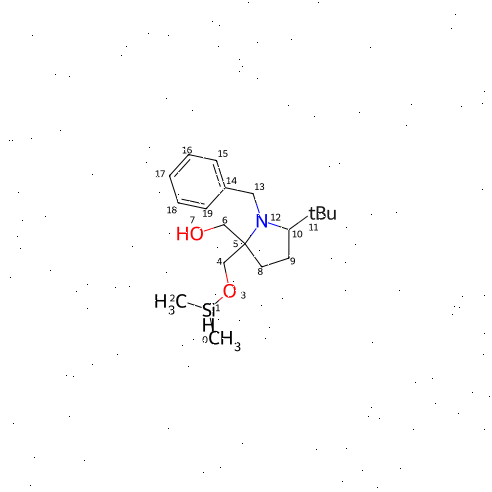 C[SiH](C)OCC1(CO)CCC(C(C)(C)C)N1Cc1ccccc1